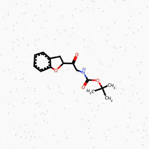 CC(C)(C)OC(=O)NCC(=O)C1Cc2ccccc2O1